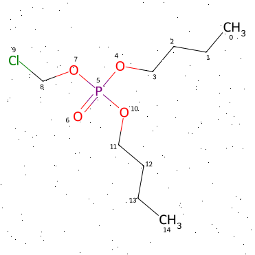 CCCCOP(=O)(OCCl)OCCCC